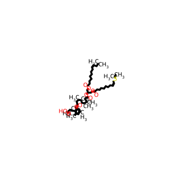 Cc1cc(C)c(C(C)(C)CC(=O)O)c(OC(=O)CC(C)C(C)CC(C)C(C)CC(=O)OC(COC(=O)CCCCCCC/C=C\CSC(C)C)COC(=O)CCCCCCC/C=C\CC(C)C)c1